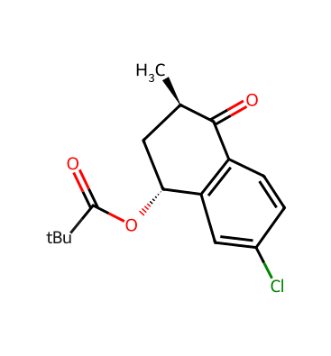 C[C@@H]1C[C@@H](OC(=O)C(C)(C)C)c2cc(Cl)ccc2C1=O